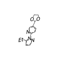 CCc1ccnn1-c1ccc(C2OCCO2)cn1